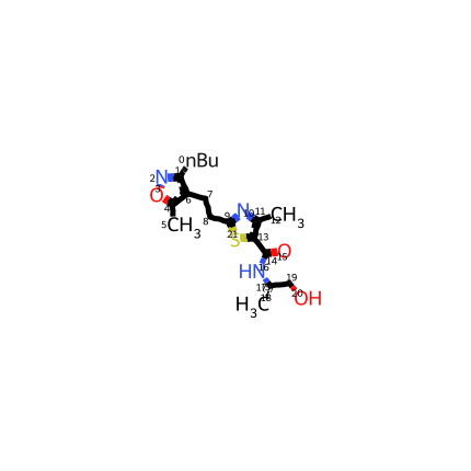 CCCCc1noc(C)c1CCc1nc(C)c(C(=O)N[C@@H](C)CO)s1